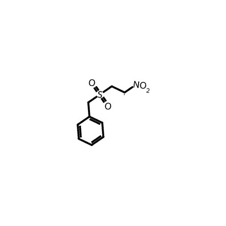 O=[N+]([O-])[CH]CS(=O)(=O)Cc1ccccc1